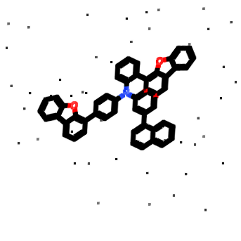 c1cc(-c2cccc3ccccc23)cc(N(c2ccc(-c3cccc4c3oc3ccccc34)cc2)c2ccccc2-c2cccc3c2oc2ccccc23)c1